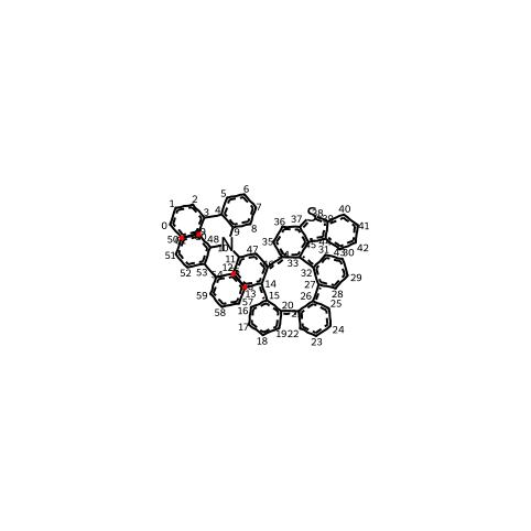 c1ccc(-c2ccccc2N(c2ccc3c4ccccc4c4ccccc4c4ccccc4c4c(ccc5sc6ccccc6c54)c3c2)c2ccccc2-c2ccccc2)cc1